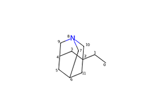 CCC12CC3CC(CN(C3)C1)C2